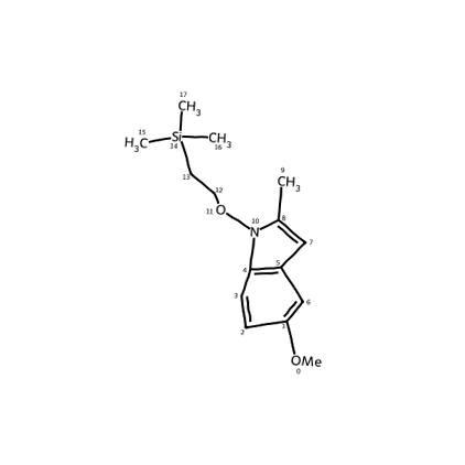 COc1ccc2c(c1)cc(C)n2OCC[Si](C)(C)C